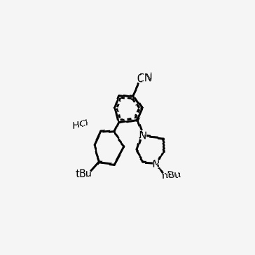 CCCCN1CCN(c2cc(C#N)ccc2C2CCC(C(C)(C)C)CC2)CC1.Cl